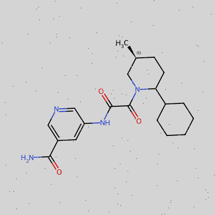 C[C@H]1CCC(C2CCCCC2)N(C(=O)C(=O)Nc2cncc(C(N)=O)c2)C1